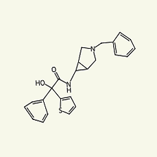 O=C(NC1C2CN(Cc3ccccc3)CC21)C(O)(c1ccccc1)c1cccs1